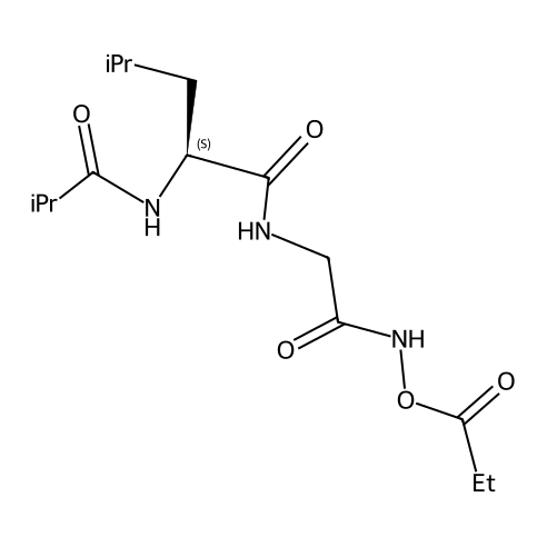 CCC(=O)ONC(=O)CNC(=O)[C@H](CC(C)C)NC(=O)C(C)C